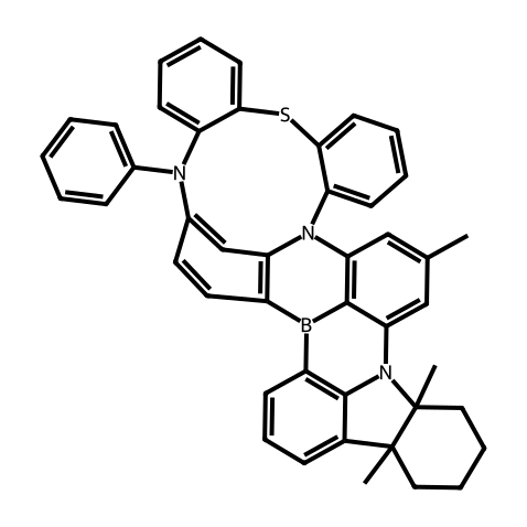 Cc1cc2c3c(c1)N1c4c(cccc4C4(C)CCCCC14C)B3c1ccc3cc1N2c1ccccc1Sc1ccccc1N3c1ccccc1